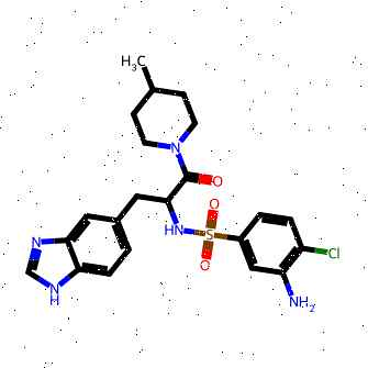 CC1CCN(C(=O)C(Cc2ccc3[nH]cnc3c2)NS(=O)(=O)c2ccc(Cl)c(N)c2)CC1